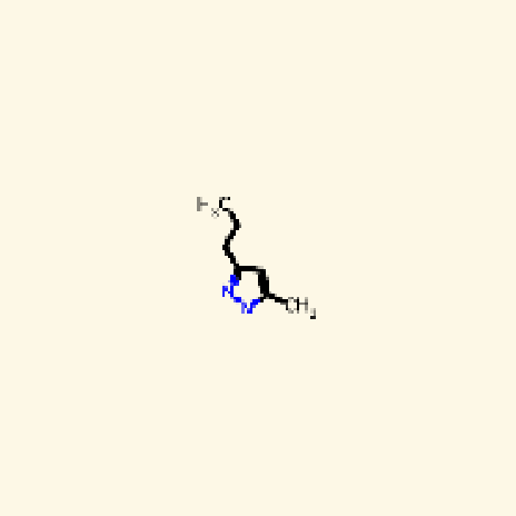 CCCC1=N[N]C(C)=C1